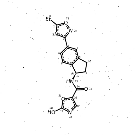 CCc1nc(-c2ccc3c(c2)CC[C@H]3NC(=O)c2cnc(O)o2)no1